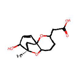 O=C(O)CC1CCC2O[C@@H]3CC2(C=CC3O)O1